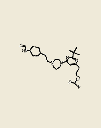 CC(C)(C)c1nc(CCOC(F)F)cc(N2CCCN(CCC3CCC(NC=O)CC3)CC2)n1